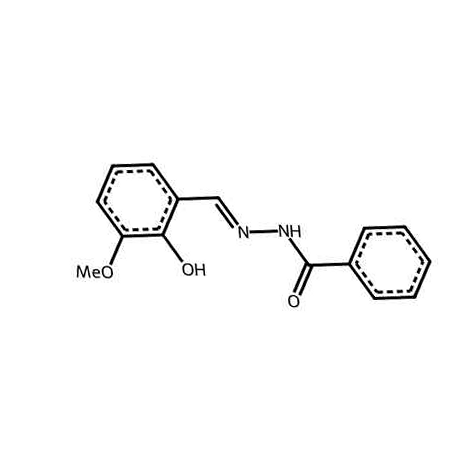 COc1cccc(C=NNC(=O)c2ccccc2)c1O